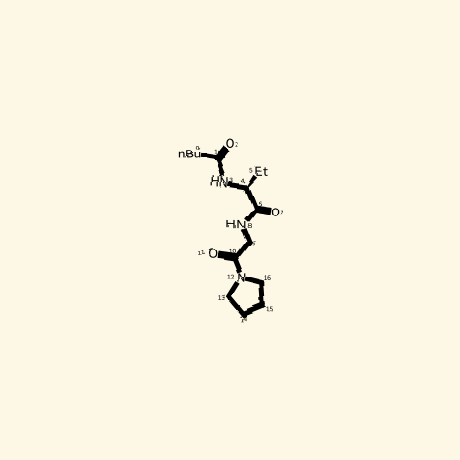 CCCCC(=O)N[C@@H](CC)C(=O)NCC(=O)N1CCCC1